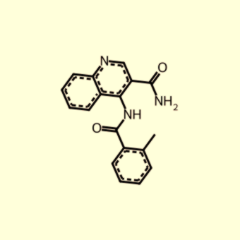 Cc1ccccc1C(=O)Nc1c(C(N)=O)cnc2ccccc12